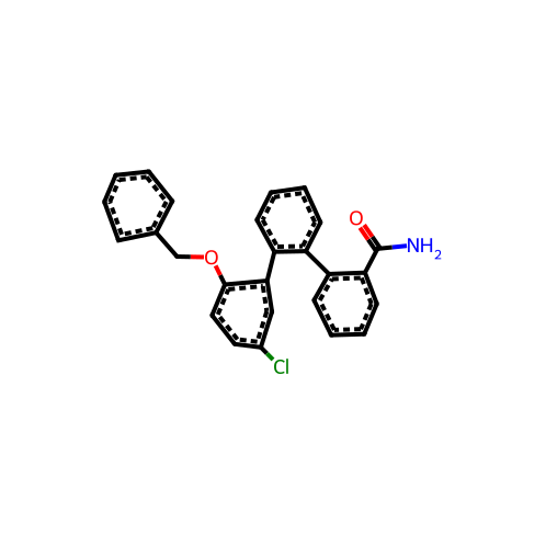 NC(=O)c1ccccc1-c1ccccc1-c1cc(Cl)ccc1OCc1ccccc1